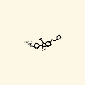 CCC(C)NC(=O)Nc1ccc(-c2c(C#N)c3ccc(OCC4CCCO4)cc3n2C2CC2)cc1